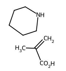 C1CCNCC1.C=C(C)C(=O)O